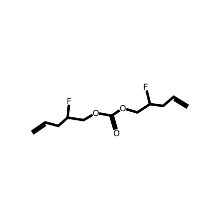 C=CCC(F)COC(=O)OCC(F)CC=C